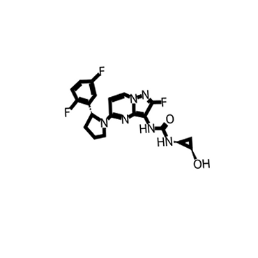 O=C(Nc1c(F)nn2ccc(N3CCC[C@@H]3c3cc(F)ccc3F)nc12)N[C@@H]1C[C@H]1O